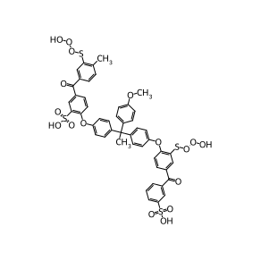 COc1ccc(C(C)(c2ccc(Oc3ccc(C(=O)c4cccc(S(=O)(=O)O)c4)cc3SOOO)cc2)c2ccc(Oc3ccc(C(=O)c4ccc(C)c(SOOO)c4)cc3S(=O)(=O)O)cc2)cc1